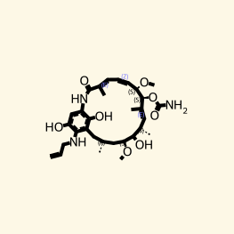 C=CCNc1c(O)cc2c(O)c1C[C@@H](C)C[C@H](OC)C(O)[C@@H](C)/C=C(\C)[C@H](OC(N)=O)[C@@H](OC)/C=C\C=C(/C)C(=O)N2